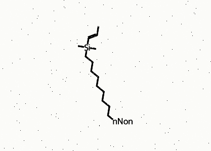 CC=C[Si](C)(C)CCCCCCCCCCCCCCCCCC